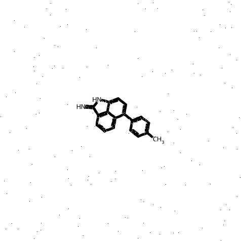 Cc1ccc(-c2ccc3c4c(cccc24)C(=N)N3)cc1